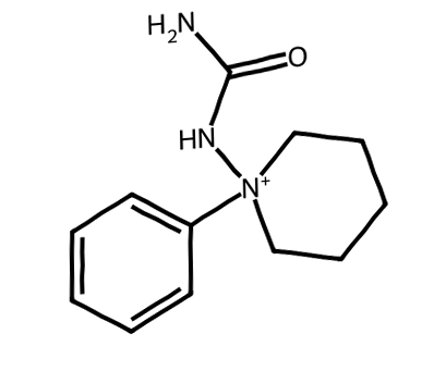 NC(=O)N[N+]1(c2ccccc2)CCCCC1